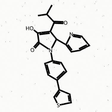 CC(C)C(=O)C1=C(O)C(=O)N(c2ccc(-c3ccsc3)cc2)C1c1ccccn1